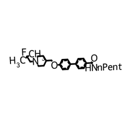 CCCCCNC(=O)c1ccc(-c2ccc(OCC3CCN(CC(C)(C)F)CC3)cc2)cc1